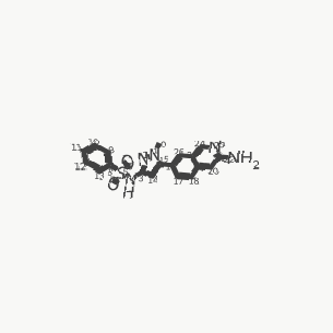 Cn1nc(NS(=O)(=O)c2ccccc2)cc1-c1ccc2cc(N)ncc2c1